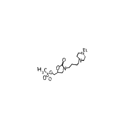 CCN1CCN(CCCN2CC(COS(C)(=O)=O)OC2=O)CC1